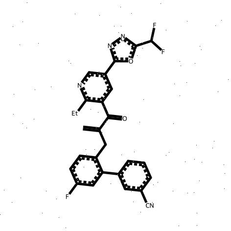 C=C(Cc1ccc(F)cc1-c1cccc(C#N)c1)C(=O)c1cc(-c2nnc(C(F)F)o2)cnc1CC